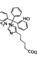 Cl.N[N@@+]1(C(c2ccccc2)(c2ccccc2)c2ccccc2)C=NC(CCCCC(=O)[O-])=C1